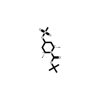 C[C@@H]1CC(OS(C)(=O)=O)C[C@H](C)N1C(=O)OC(C)(C)C